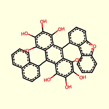 Oc1c(O)c(O)c2c(-c3cccc4oc5ccccc5c34)c3c(O)c(O)c(O)c(O)c3c(-c3cccc4ccccc34)c2c1O